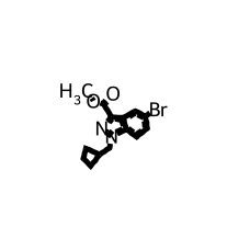 COC(=O)c1nn(CC2CCC2)c2ccc(Br)cc12